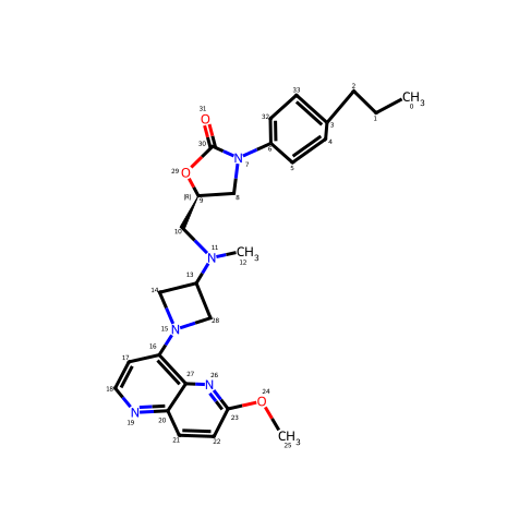 CCCc1ccc(N2C[C@@H](CN(C)C3CN(c4ccnc5ccc(OC)nc45)C3)OC2=O)cc1